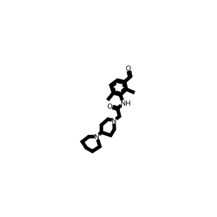 Cc1ccc(C=O)c(C)c1NC(=O)CN1CCC(N2CCCCC2)CC1